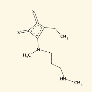 CCc1c(N(C)CCCNC)c(=S)c1=S